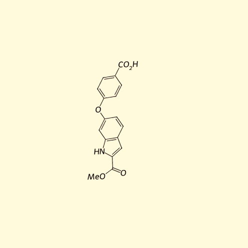 COC(=O)c1cc2ccc(Oc3ccc(C(=O)O)cc3)cc2[nH]1